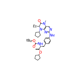 C=C(OC1CCCC1)[C@H](Cc1ccc(Nc2ncc3c(n2)N(C2CCCC2)C(CC)C(=O)N3C)cc1)NC(=O)OC(C)(C)C